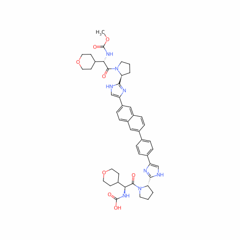 COC(=O)N[C@H](C(=O)N1CCC[C@H]1c1nc(-c2ccc3cc(-c4ccc(-c5c[nH]c([C@@H]6CCCN6C(=O)[C@@H](NC(=O)O)C6CCOCC6)n5)cc4)ccc3c2)c[nH]1)C1CCOCC1